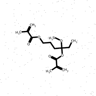 [CH2]CC(CCCOC(=O)C(=C)C)(O[SiH3])OC(=O)C(=C)C